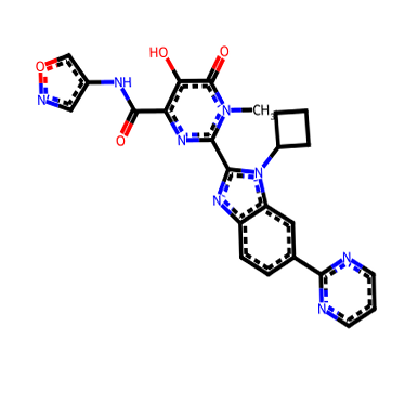 Cn1c(-c2nc3ccc(-c4ncccn4)cc3n2C2CCC2)nc(C(=O)Nc2cnoc2)c(O)c1=O